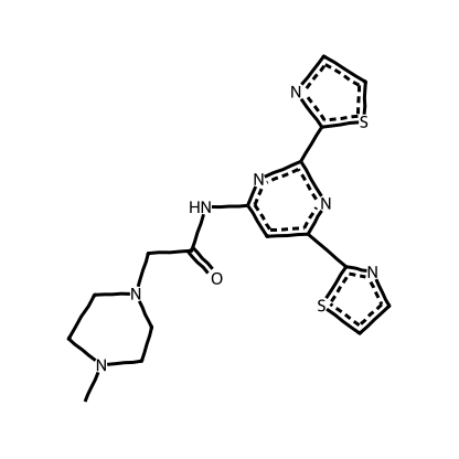 CN1CCN(CC(=O)Nc2cc(-c3nccs3)nc(-c3nccs3)n2)CC1